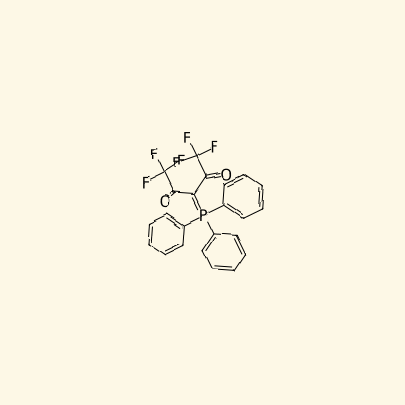 O=C(C(C(=O)C(F)(F)F)=P(c1ccccc1)(c1ccccc1)c1ccccc1)C(F)(F)F